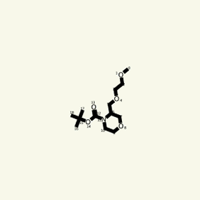 COCCOCC1COCCN1C(=O)OC(C)(C)C